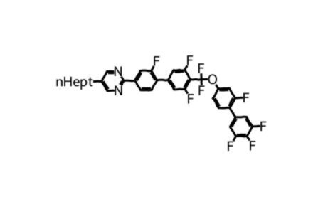 CCCCCCCc1cnc(-c2ccc(-c3cc(F)c(C(F)(F)Oc4ccc(-c5cc(F)c(F)c(F)c5)c(F)c4)c(F)c3)c(F)c2)nc1